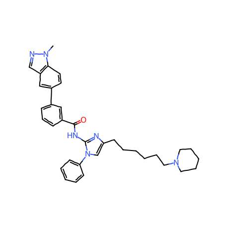 Cn1ncc2cc(-c3cccc(C(=O)Nc4nc(CCCCCCN5CCCCC5)cn4-c4ccccc4)c3)ccc21